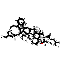 CCC1=C[C@@H]2CN(CCc3c([nH]c4ccccc34)[C@@](C(=O)OC)(c3cc4c(cc3OC)N(C)[C@H]3C(O)(COC(=O)NCC(C)C)[C@H](OC(C)=O)[C@]5(CC)C=CCN6CC[C@]43C65)C2)C1